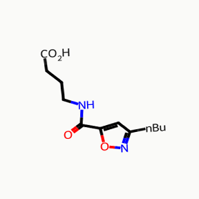 CCCCc1cc(C(=O)NCCCC(=O)O)on1